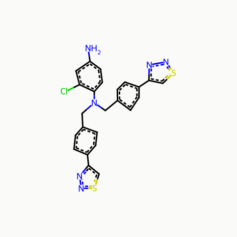 Nc1ccc(N(Cc2ccc(-c3csnn3)cc2)Cc2ccc(-c3csnn3)cc2)c(Cl)c1